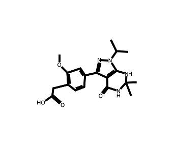 COc1cc(-c2nn(C(C)C)c3c2C(=O)NC(C)(C)N3)ccc1CC(=O)O